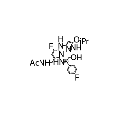 CC(=O)NCc1cc(F)c(Nc2cc(OC(C)C)[nH]n2)nc1N[C@@H](CO)c1ccc(F)cc1